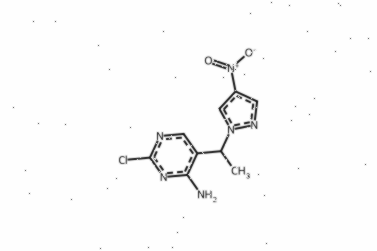 CC(c1cnc(Cl)nc1N)n1cc([N+](=O)[O-])cn1